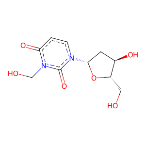 O=c1ccn([C@@H]2C[C@@H](O)[C@H](CO)O2)c(=O)n1CO